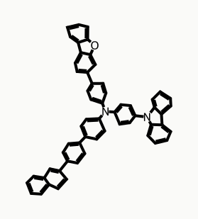 c1ccc2cc(-c3ccc(-c4ccc(N(c5ccc(-c6ccc7c(c6)oc6ccccc67)cc5)c5ccc(-n6c7ccccc7c7ccccc76)cc5)cc4)cc3)ccc2c1